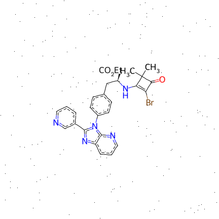 CCOC(=O)[C@H](Cc1ccc(-n2c(-c3cccnc3)nc3cccnc32)cc1)NC1=C(Br)C(=O)C1(C)C